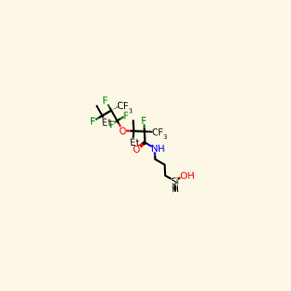 CCC(C)(OC(F)(F)[C@@](F)(C(F)(F)F)C(C)(F)CC)C(F)(C(=O)NCCC[SiH](C)O)C(F)(F)F